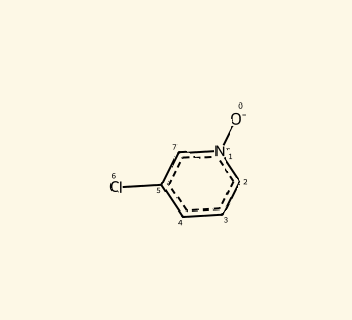 [O-][n+]1[c]ccc(Cl)c1